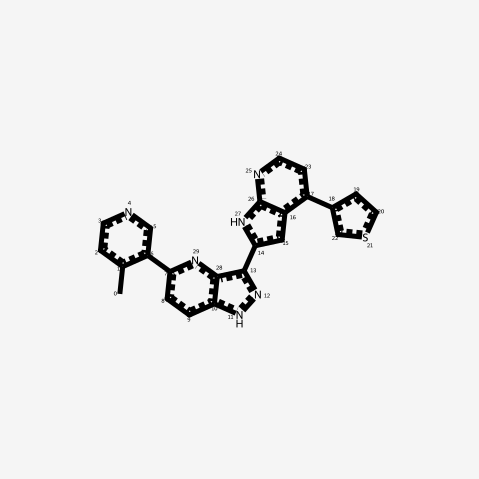 Cc1ccncc1-c1ccc2[nH]nc(-c3cc4c(-c5ccsc5)ccnc4[nH]3)c2n1